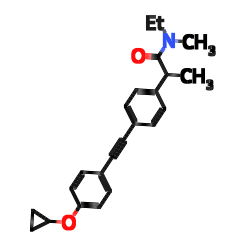 CCN(C)C(=O)C(C)c1ccc(C#Cc2ccc(OC3CC3)cc2)cc1